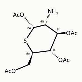 CC(=O)OC[C@H]1S[C@H](OC(C)=O)[C@H](N)[C@@H](OC(C)=O)[C@@H]1OC(C)=O